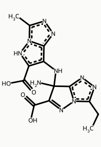 CCc1nnc2n1N=C(C(=O)O)C2(N)Nc1c(C(=O)O)[nH]n2c(C)nnc12